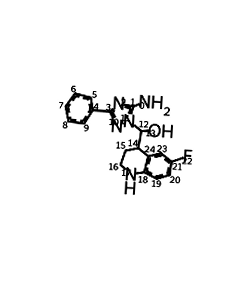 Nc1nc(-c2ccccc2)nn1C(O)C1CCNc2ccc(F)cc21